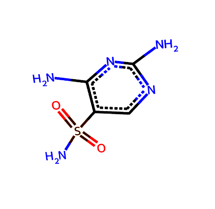 Nc1ncc(S(N)(=O)=O)c(N)n1